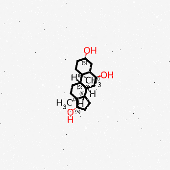 C[C@]12CC[C@H]3[C@@H](C[C@H](O)C4C[C@@H](O)CC[C@@]43C)[C@@H]1CC[C@@H]2O